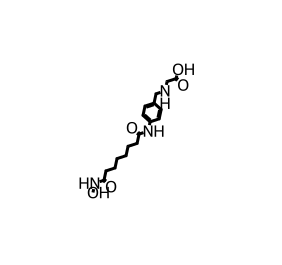 O=C(O)CNCc1ccc(NC(=O)CCCCCCC(=O)NO)cc1